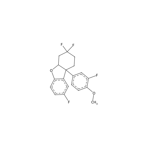 COc1ccc(C23CCC(F)(F)CC2Oc2ccc(F)cc23)cc1F